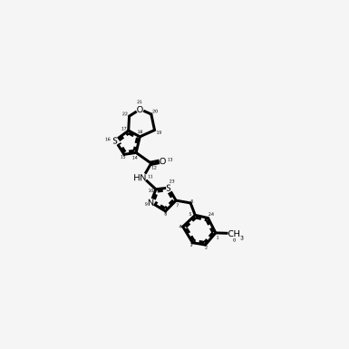 Cc1cccc(Cc2cnc(NC(=O)c3csc4c3CCOC4)s2)c1